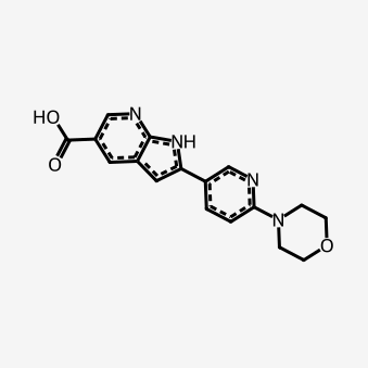 O=C(O)c1cnc2[nH]c(-c3ccc(N4CCOCC4)nc3)cc2c1